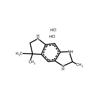 CC1Nc2cc3c(cc2N1)C(C)(C)CN3.Cl.Cl